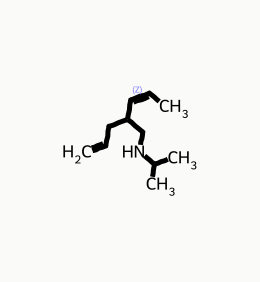 C=CCC(/C=C\C)CNC(C)C